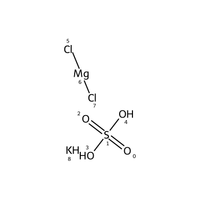 O=S(=O)(O)O.[Cl][Mg][Cl].[KH]